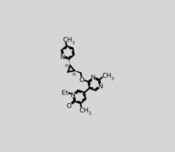 CCn1cc(-c2cnc(C)nc2OC[C@H]2C[C@@H]2c2ccc(C)cn2)cc(C)c1=O